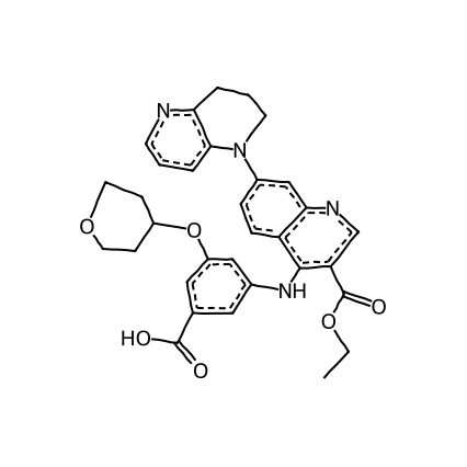 CCOC(=O)c1cnc2cc(N3CCCc4ncccc43)ccc2c1Nc1cc(OC2CCOCC2)cc(C(=O)O)c1